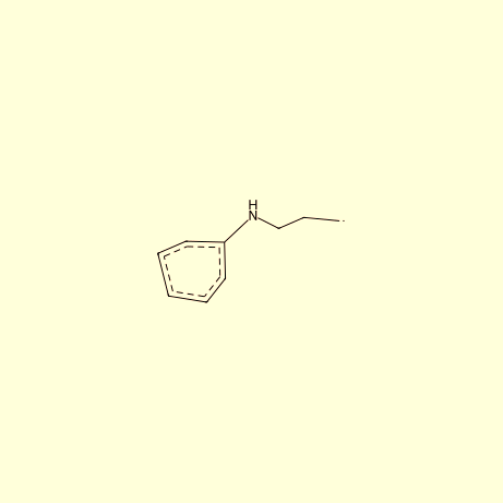 [CH2]CCNc1ccccc1